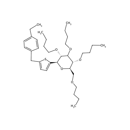 CCCCOC[C@H]1O[C@@H](c2ccc(Cc3ccc(CC)cc3)s2)[C@H](OCCCC)C(OCCCC)[C@@H]1OCCCC